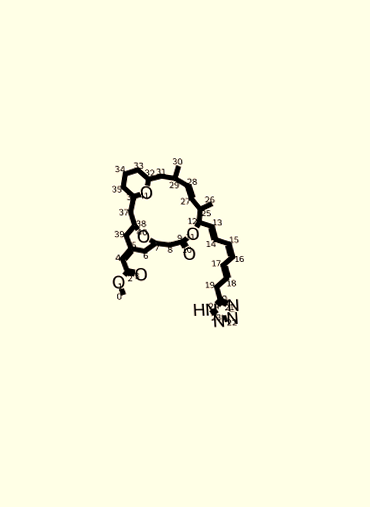 COC(=O)/C=C1\CC2CC(=O)OC(/C=C/C=C\C=C\Cc3nnn[nH]3)C(C)/C=C/C(C)CC3CCCC(CC(C1)O2)O3